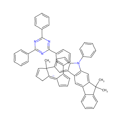 CC1(c2ccc3c(c2)c2cc4c(cc2n3-c2ccccc2)C(C)(C)c2ccccc2-4)C=CC/C1=C1\C=CC=C1c1cccc(-c2nc(-c3ccccc3)nc(-c3ccccc3)n2)c1